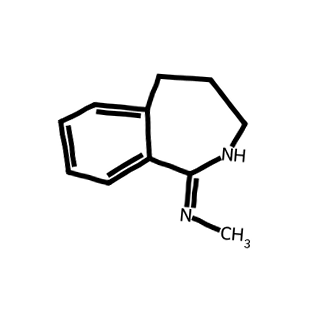 C/N=C1\NCCCc2ccccc21